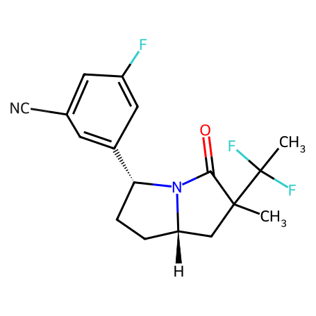 CC(F)(F)C1(C)C[C@@H]2CC[C@H](c3cc(F)cc(C#N)c3)N2C1=O